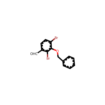 O=Cc1ccc(Br)c(OCc2ccccc2)c1Br